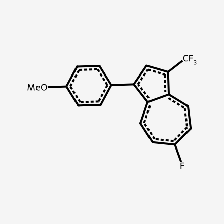 COc1ccc(-c2cc(C(F)(F)F)c3ccc(F)ccc2-3)cc1